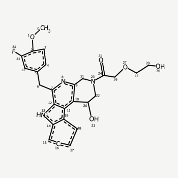 COc1ccc(Cc2nc3c(c4c2[nH]c2ccccc24)C(O)CN(C(=O)COCCO)C3)cc1F